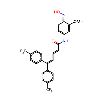 COC1=CC(NC(=O)/C=C/C=C(c2ccc(C(F)(F)F)cc2)c2ccc(C(F)(F)F)cc2)=CCC1=NO